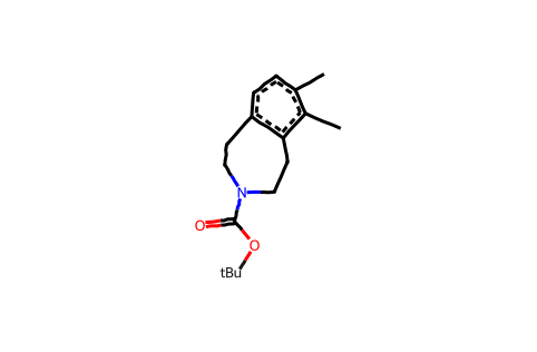 Cc1ccc2c(c1C)CCN(C(=O)OC(C)(C)C)CC2